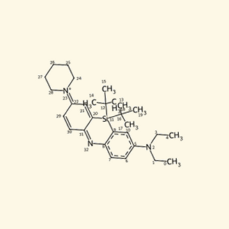 CCN(CC)c1ccc2c(c1)[Si](C(C)(C)C)(C(C)(C)C)C1=CC(=[N+]3CCCCC3)C=CC1=N2